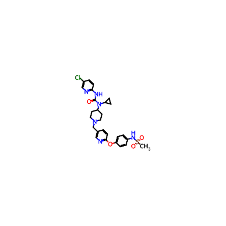 CS(=O)(=O)Nc1ccc(Oc2ccc(CN3CCC(N(C(=O)Nc4ccc(Cl)cn4)C4CC4)CC3)cn2)cc1